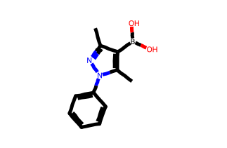 Cc1nn(-c2ccccc2)c(C)c1B(O)O